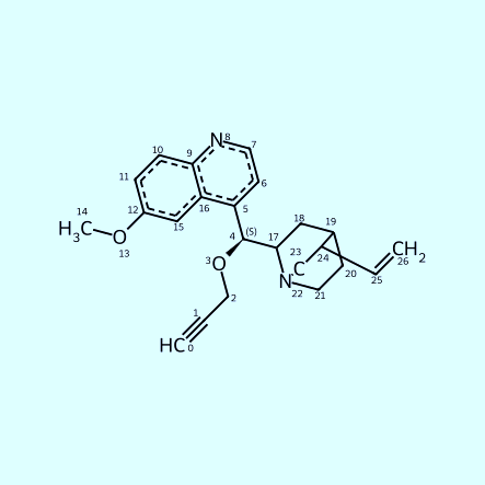 C#CCO[C@@H](c1ccnc2ccc(OC)cc12)C1CC2CCN1CC2C=C